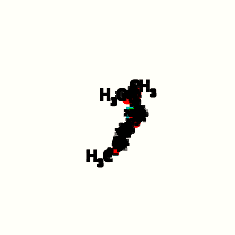 CCCC1CCC(C2CCC(COc3cccc(SCC(OCC)OCC)c3F)CC2)CC1